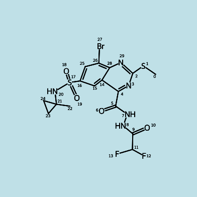 CSc1nc(C(=O)NNC(=O)C(F)F)c2cc(S(=O)(=O)NC3(C)CC3)cc(Br)c2n1